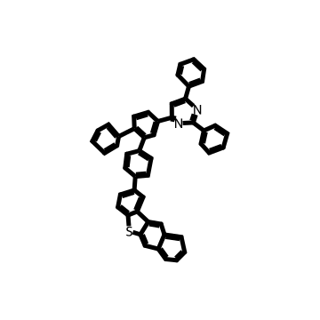 c1ccc(-c2cc(-c3ccc(-c4ccccc4)c(-c4ccc(-c5ccc6sc7cc8ccccc8cc7c6c5)cc4)c3)nc(-c3ccccc3)n2)cc1